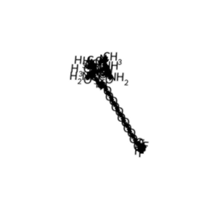 CCn1nc(C)cc1C(=O)Nc1nc2cc(C(N)=O)cc(OC)c2n1C/C=C/Cn1c(NC(=O)c2cc(C)nn2CC)nc2cc(C(N)=O)cc(OCCCN3CCN(CCOCCOCCOCCOCCOCCOCCOCCOCCOCCOCCC(=O)Oc4c(F)c(F)cc(F)c4F)CC3)c21